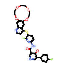 O=C(Nc1ccc(Sc2ccnc3cc4c(cc23)OCCOCCOCCO4)c(F)n1)c1c[nH]cc(-c2ccc(F)cc2)c1=O